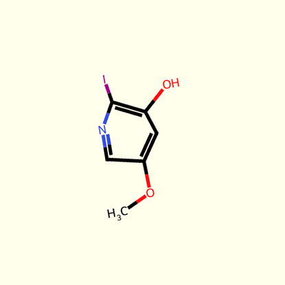 COc1cnc(I)c(O)c1